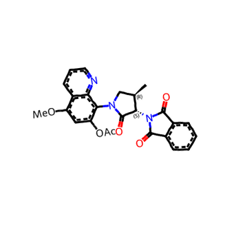 COc1cc(OC(C)=O)c(N2C[C@@H](C)[C@H](N3C(=O)c4ccccc4C3=O)C2=O)c2ncccc12